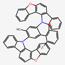 N#Cc1cc(-n2c3ccccc3c3ccc4oc5ccccc5c4c32)c(-c2c(C(F)(F)F)cccc2C(F)(F)F)cc1-n1c2ccccc2c2ccc3oc4ccccc4c3c21